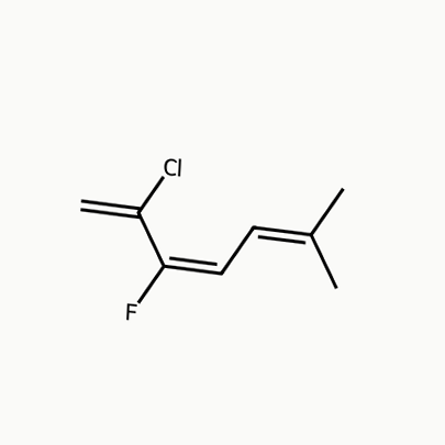 C=C(Cl)/C(F)=C\C=C(C)C